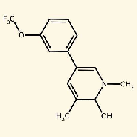 CC1=CC(c2cccc(OC(F)(F)F)c2)=CN(C)C1O